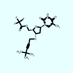 Cc1cn([C@H]2C[C@H](OCC#CC(C)(C)C)[C@@H](COC(=O)C(F)(F)F)O2)c(=O)[nH]c1=O